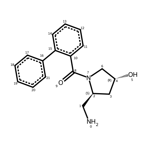 NC[C@@H]1C[C@@H](O)CN1C(=O)c1ccccc1-c1ccccc1